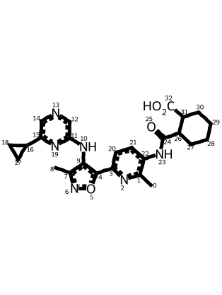 Cc1nc(-c2onc(C)c2Nc2cncc(C3CC3)n2)ccc1NC(=O)C1CCCCC1C(=O)O